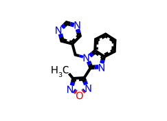 Cc1nonc1-c1nc2ccccc2n1Cc1cncnc1